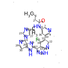 CCCC(=O)Nc1cncc(-c2cnc3[nH]nc(-c4nc5c(-n6cnc(C)c6)nccc5[nH]4)c3c2F)c1